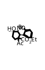 CCOC(=O)C1(C(C)=O)CC[C@@](C)(O)[C@@H]([N+](=O)[O-])[C@H]1c1ccccc1Br